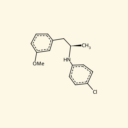 COc1cccc(C[C@@H](C)Nc2ccc(Cl)cc2)c1